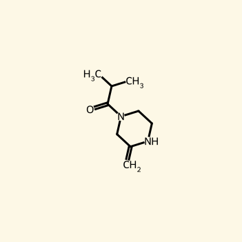 C=C1CN(C(=O)C(C)C)CCN1